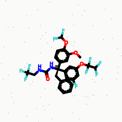 COc1cc([C@@](Cc2ccccc2)(NC(=O)NCC(F)(F)F)c2cc(F)cc(OC(F)(F)C(F)F)c2)ccc1OC(F)F